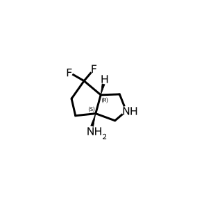 N[C@@]12CCC(F)(F)[C@@H]1CNC2